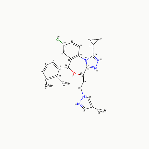 COc1cccc([C@H]2O[C@H](CCn3cc(C(=O)O)cn3)c3nnc(C4CC4)n3-c3ccc(Cl)cc32)c1OC